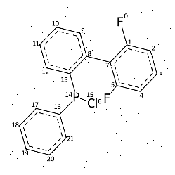 Fc1cccc(F)c1-c1ccccc1P(Cl)c1ccccc1